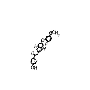 COc1ccc(F)c(O[C@H]2C[C@@H]3CN(CC(=O)c4ccc(O)cn4)C[C@@H]3C2)c1